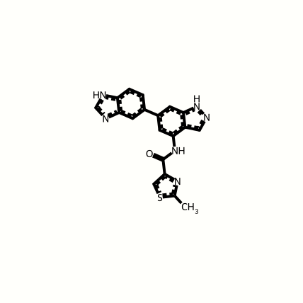 Cc1nc(C(=O)Nc2cc(-c3ccc4[nH]cnc4c3)cc3[nH]ncc23)cs1